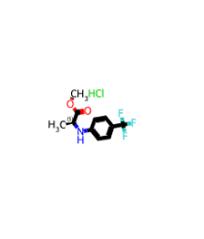 COC(=O)[C@H](C)Nc1ccc(C(F)(F)F)cc1.Cl